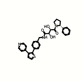 O=C(NCc1ccc(-c2sccc2-c2ccncc2)cc1)[C@H](O)[C@@H](O)C(=O)N1CCC[C@@H]1c1ccccc1